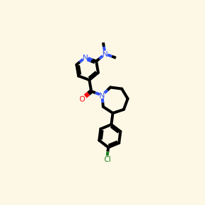 CN(C)c1cc(C(=O)N2CCCCC(c3ccc(Cl)cc3)C2)ccn1